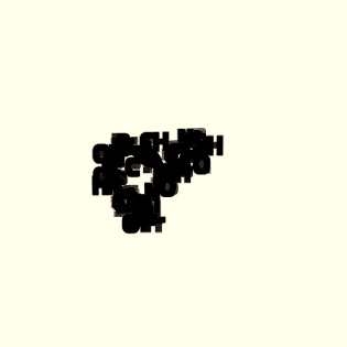 Cc1cc2cc(C)c1CN(C(=O)C(C)C)CC(=O)Nc1ccc(S(=O)(=O)C(C)C)c(c1)CNC(=O)C2Nc1ccc2nc[nH]c(=O)c2c1